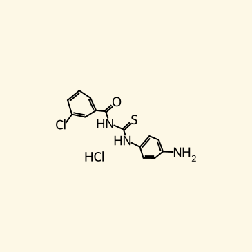 Cl.Nc1ccc(NC(=S)NC(=O)c2cccc(Cl)c2)cc1